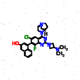 CN(C)C1CN(c2nc(N3CC=[N+]4CC[C@@H]3C4)c3cc(Cl)c(-c4cc(O)cc5ccccc45)c(F)c3n2)C1